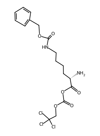 N[C@@H](CCCCNC(=O)OCc1ccccc1)C(=O)OC(=O)OCC(Cl)(Cl)Cl